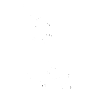 O=C(Nc1nc2ccc(Cl)cc2s1)c1ccc(-c2cc(C(F)(F)F)nn2-c2ccccc2Cl)cc1